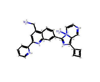 NCc1cc(-c2ccccn2)nc2cc(C3=NC(C4=CC=C4)=C4C=NC=C[N+]34N)ccc12